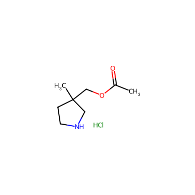 CC(=O)OCC1(C)CCNC1.Cl